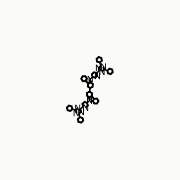 c1ccc(-c2nc(-c3ccccc3)nc(-c3ccc(-n4c5ccccc5c5cc(-c6ccc7c(c6)c6ccccc6n7-c6ccc(-c7nc(-c8ccccc8)nc(-c8ccccc8)n7)nc6)ccc54)cn3)n2)cc1